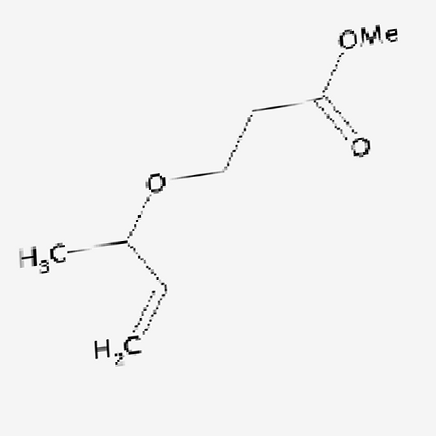 C=CC(C)OCCC(=O)OC